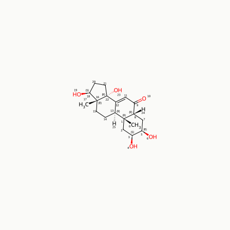 C[C@]12C[C@H](O)[C@H](O)C[C@H]1C(=O)C=C1[C@@H]2CC[C@]2(C)[C@@H](O)CC[C@@]12O